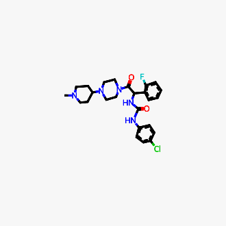 CN1CCC(N2CCN(C(=O)C(NC(=O)Nc3ccc(Cl)cc3)c3ccccc3F)CC2)CC1